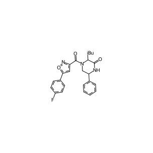 CCC(C)C1C(=O)NC(c2ccccc2)CN1C(=O)c1cc(-c2ccc(F)cc2)on1